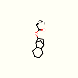 C=CC(=O)OC1CC2CC1C1CCCCC21